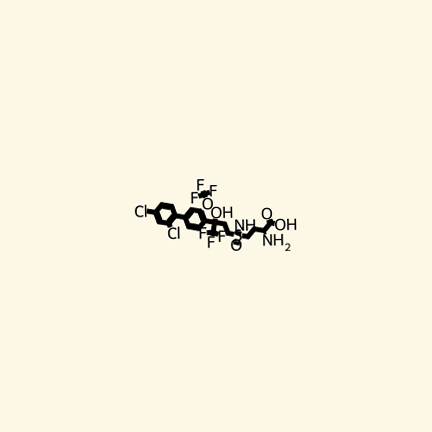 N=S(=O)(CC[C@H](N)C(=O)O)CCC(O)(c1ccc(-c2ccc(Cl)cc2Cl)cc1OC(F)(F)F)C(F)(F)F